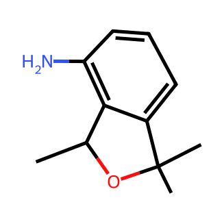 CC1OC(C)(C)c2cccc(N)c21